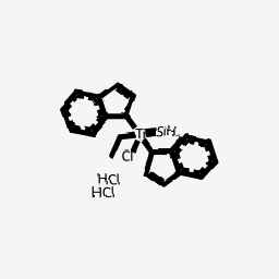 C[CH2][Ti](=[SiH2])([Cl])([CH]1C=Cc2ccccc21)[CH]1C=Cc2ccccc21.Cl.Cl